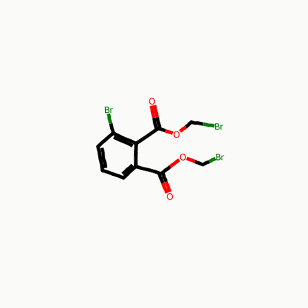 O=C(OCBr)c1cccc(Br)c1C(=O)OCBr